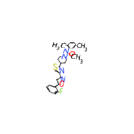 COC(=Nc1cc(C)ccc1C)N1CCC(c2nc(C3=NOC(c4ccccc4F)C3)cs2)CC1